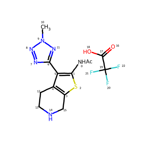 CC(=O)Nc1sc2c(c1-c1nnn(C)n1)CCNC2.O=C(O)C(F)(F)F